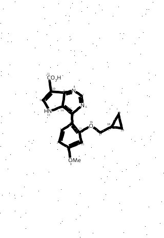 COc1ccc(-c2ncnc3c(C(=O)O)c[nH]c23)c(OCC2CC2)c1